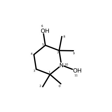 CC1(C)CCC(O)C(C)(C)N1O